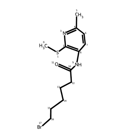 CSc1nc(C)ccc1NC(=O)CCCCCBr